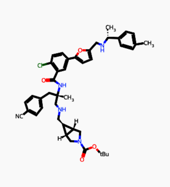 Cc1ccc([C@@H](C)NCc2ccc(-c3ccc(Cl)c(C(=O)N[C@](C)(CNC[C@@H]4[C@H]5CN(C(=O)OC(C)(C)C)C[C@@H]45)Cc4ccc(C#N)cc4)c3)o2)cc1